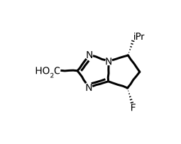 CC(C)[C@@H]1C[C@H](F)c2nc(C(=O)O)nn21